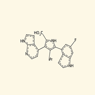 CC(C)c1c(-c2cc(F)cc3[nH]ccc23)[nH]c(C(=O)O)c1-c1ccnc2[nH]ccc12